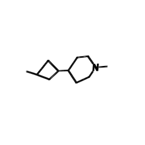 CC1CC(C2CCN(C)CC2)C1